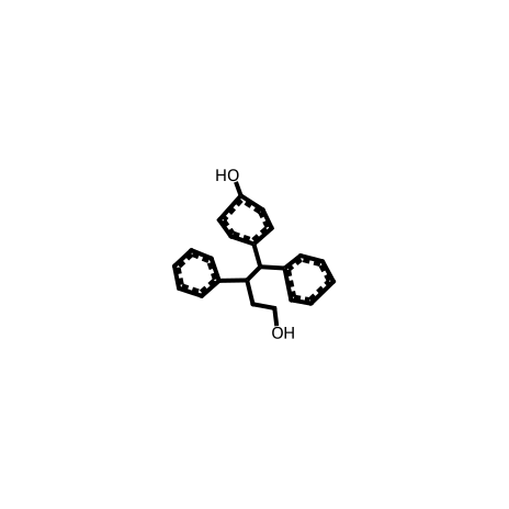 OCCC(c1ccccc1)C(c1ccccc1)c1ccc(O)cc1